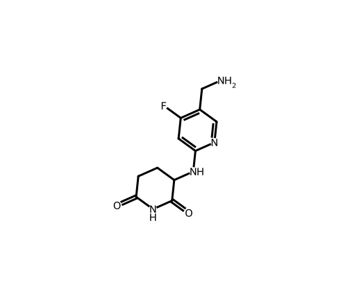 NCc1cnc(NC2CCC(=O)NC2=O)cc1F